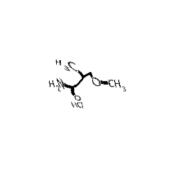 COCC(C)C(N)=O.Cl